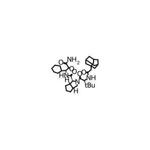 CC(C)(C)[C@H](NC(=O)CC12CC3CC(CC(C3)C1)C2)C(=O)N1C[C@@H]2CCC[C@@H]2[C@H]1C(=O)N[C@H](C(=O)C(N)=O)C1CCCCC1